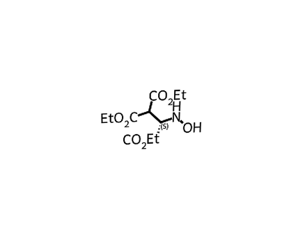 CCOC(=O)C(C(=O)OCC)[C@H](NO)C(=O)OCC